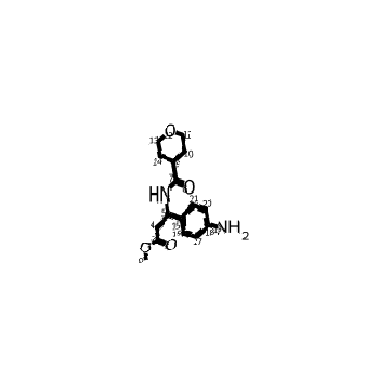 COC(=O)CC(NC(=O)C1CCOCC1)c1ccc(N)cc1